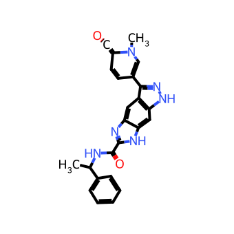 CC(NC(=O)c1nc2cc3c(C4=CN(C)C(=C=O)C=C4)n[nH]c3cc2[nH]1)c1ccccc1